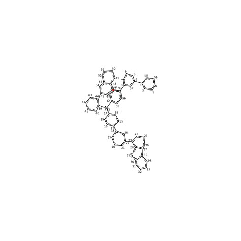 c1ccc(-c2cccc(-c3ccc(N(c4ccc(-c5cccc(-c6cccc7c6sc6ccccc67)c5)cc4)c4ccccc4-c4ccc5ccccc5c4)cc3)c2)cc1